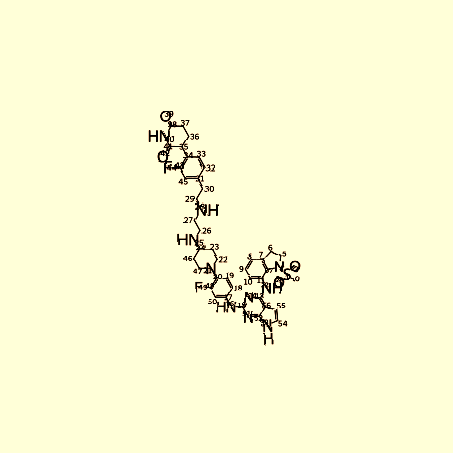 CS(=O)(=O)N1CCc2cccc(Nc3nc(Nc4ccc(N5CCC(NCCNCCc6ccc(C7CCC(=O)NC7=O)c(F)c6)CC5)c(F)c4)nc4[nH]ccc34)c21